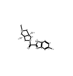 CN1C[C@@H]2CN(C(=O)c3nc4cc(I)ccc4[nH]3)C[C@@H]2C1